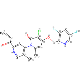 C=CC(=O)c1cc(-n2c(C)cc(OCc3ncc(F)cc3F)c(Cl)c2=O)c(C)cn1